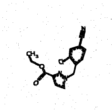 CCOC(=O)c1ccn(Cc2ccc(C#N)cc2Cl)n1